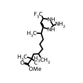 COC(=O)C(C)(C)CC(C)CCCC(C)C1=CC(C(F)(F)F)NC(N)N1